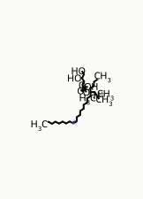 CCCCCCCC/C=C\CCCCCCCCC(CCCCC)(C[N+](C)(C)C)OP(=O)(O)OCC(O)CO